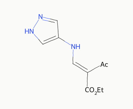 CCOC(=O)C(=CNc1cn[nH]c1)C(C)=O